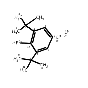 CC(C)(C)c1cccc(C(C)(C)C)c1[P-2].[Li+].[Li+]